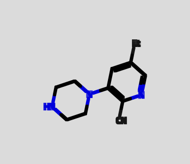 CCc1cnc(C#N)c(N2CCNCC2)c1